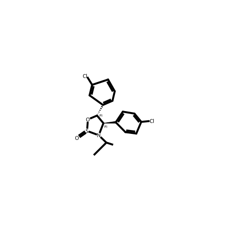 CC(C)N1[C@H](c2ccc(Cl)cc2)[C@@H](c2cccc(Cl)c2)OS1=O